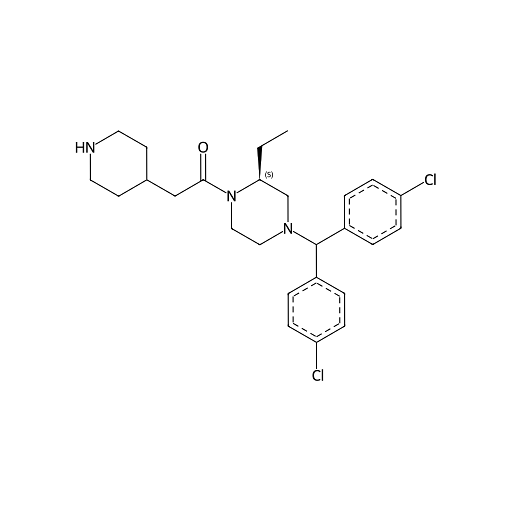 CC[C@H]1CN(C(c2ccc(Cl)cc2)c2ccc(Cl)cc2)CCN1C(=O)CC1CCNCC1